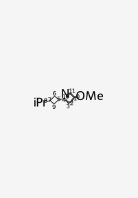 COc1ccc(C2CC(C(C)C)C2)nc1